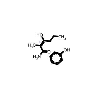 CCC/C(O)=C(/C)C(N)=O.Oc1ccccc1